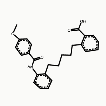 COc1ccc(C(=O)Nc2ccccc2CCCCCc2ccccc2C(=O)O)cc1